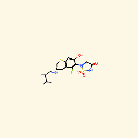 CC(C)C(C)CN[C@@H]1CSc2cc(O)c(N3CC(=O)NS3(=O)=O)c(F)c2C1